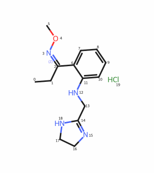 CC/C(=N/OC)c1ccccc1NCC1=NCCN1.Cl